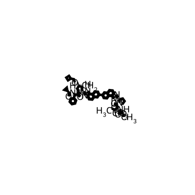 C=C1[C@H](COCC2CCC2)CN(C(=O)[C@H](NC(=O)C2CC2)c2ccccc2)[C@@H]1c1nc2ccc3cc(-c4ccc5c(ccc6nc([C@@H]7CCCN7C(=O)[C@@H](NC(=O)OC)[C@@H](C)CC)[nH]c65)c4)ccc3c2[nH]1